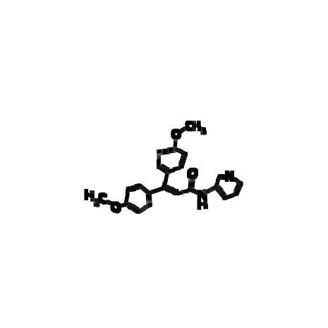 COc1ccc(C(=CC(=O)Nc2cccnc2)c2ccc(OC)cc2)cc1